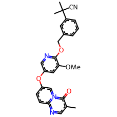 COc1cc(Oc2ccc3ncc(C)c(=O)n3c2)cnc1OCc1cccc(C(C)(C)C#N)c1